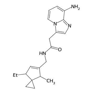 CCC1C=C(CNC(=O)Cc2cnc3c(N)cccn23)C(C)C12CC2